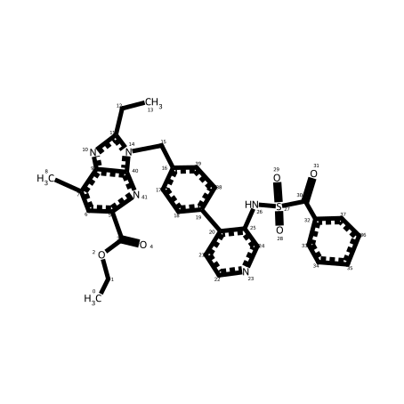 CCOC(=O)c1cc(C)c2nc(CC)n(Cc3ccc(-c4ccncc4NS(=O)(=O)C(=O)c4ccccc4)cc3)c2n1